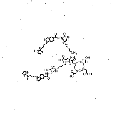 NCCCCCC(=O)NC(CNC(=O)c1ccc2c(cnn2CCCNc2ncc[nH]2)c1)C(=O)O.N[C@](CCC(=O)O)(C(=O)CN1CCN(CC(=O)O)CCN(CC(=O)O)CCN(CC(=O)O)CC1)C(=O)NCCCCCC(=O)NC(CNC(=O)c1ccc2c(cnn2CCCNc2ncc[nH]2)c1)C(=O)O